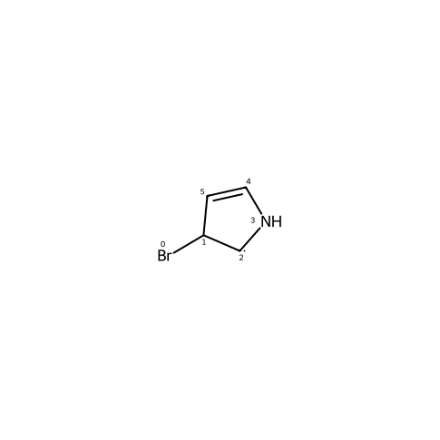 BrC1[CH]NC=C1